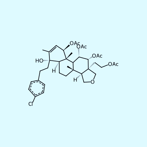 CC(=O)OCC[C@]12COC[C@H]1[C@]1(C)CC[C@@H]3[C@@](C)(C1[C@H](OC(C)=O)[C@@H]2OC(C)=O)[C@H](OC(C)=O)C=C(C)[C@]3(O)CCc1ccc(Cl)cc1